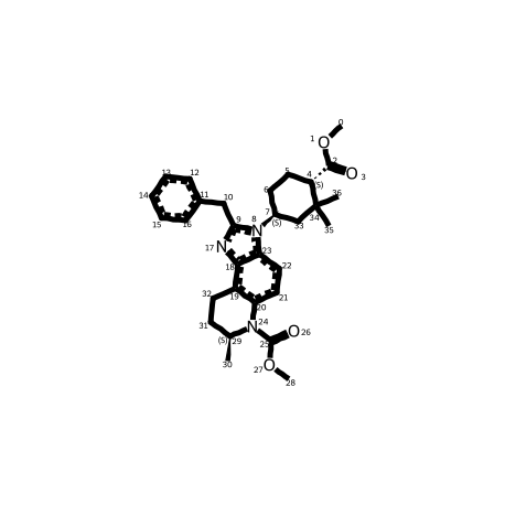 COC(=O)[C@H]1CC[C@H](n2c(Cc3ccccc3)nc3c4c(ccc32)N(C(=O)OC)[C@@H](C)CC4)CC1(C)C